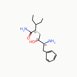 CCC(CC)[C@H](C[C@H](O)[C@@H](N)Cc1ccccc1)C(N)=O